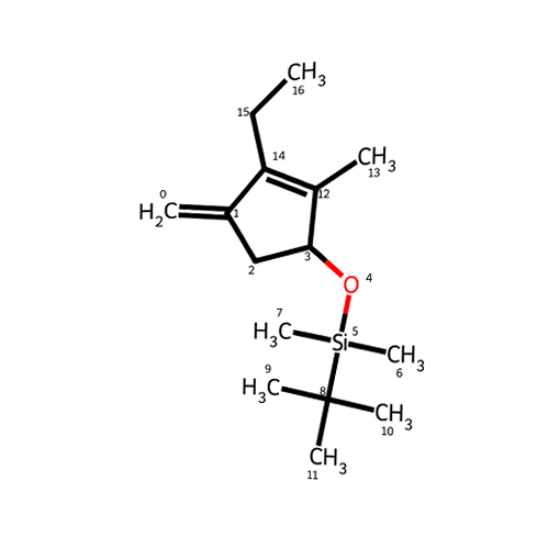 C=C1CC(O[Si](C)(C)C(C)(C)C)C(C)=C1CC